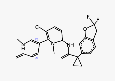 C=C/C=C\C(=C/NC)C1=C(Cl)C=CC(NC(=C)C2(c3ccc4c(c3)OC(F)(F)C4)CC2)N1C